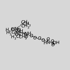 CC(C)[C@H](NC(=O)CCCC(C)(C)C)C(=O)N[C@@H](CCCCNC(=O)CCOCCOCCOCCOCCC(=O)NCCS(=O)(=O)O)C(=O)C(C)(C)C